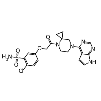 NS(=O)(=O)c1cc(OCC(=O)N2CCN(c3ncnc4[nH]ccc34)CC23CC3)ccc1Cl